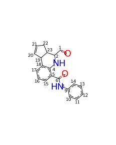 O=CC1Nc2c(C(=O)Nc3ccccc3)cccc2C2C=CCC12